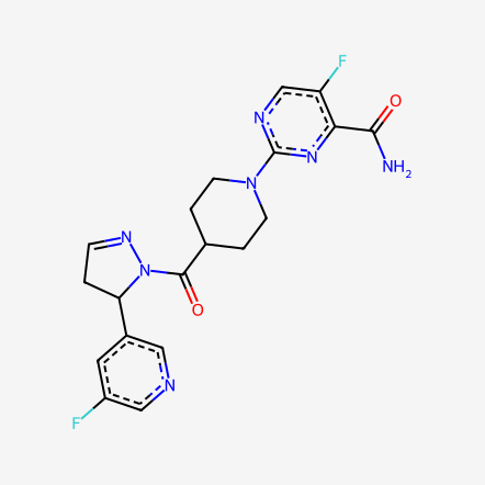 NC(=O)c1nc(N2CCC(C(=O)N3N=CCC3c3cncc(F)c3)CC2)ncc1F